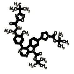 Cc1cc(-c2ncnc3c2c2ccc(C4=CCN(C(=O)OC(C)(C)C)C4)cc2n3C(=O)OC(C)(C)C)ccc1[C@@H](C)NC(=O)c1nc(C(C)(C)C)no1